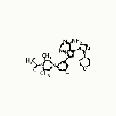 CC(=O)N1C(C)CN(c2cc(F)cc(-c3cc(-c4ccnn4C4CCOCC4)c4c(N)ncnn34)c2)CC1C